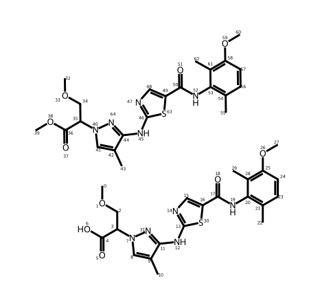 COCC(C(=O)O)n1cc(C)c(Nc2ncc(C(=O)Nc3c(C)ccc(OC)c3C)s2)n1.COCC(C(=O)OC)n1cc(C)c(Nc2ncc(C(=O)Nc3c(C)ccc(OC)c3C)s2)n1